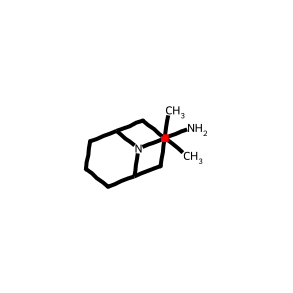 CC(C)N1C2CCCC1CC(N)C2